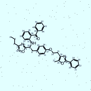 CCCc1noc([C@H](Cc2ccc(OCCc3nc(-c4ccccc4)oc3C)cc2)Nc2ccccc2C(=O)c2ccccc2)n1